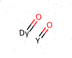 [O]=[Dy].[O]=[Y]